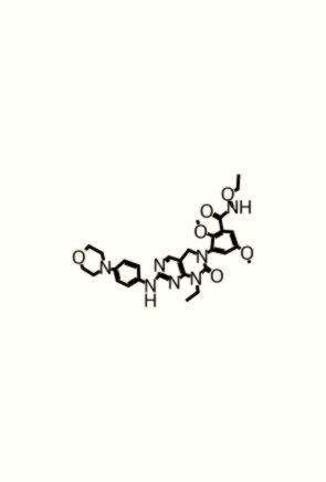 CCONC(=O)c1cc(OC)cc(N2Cc3cnc(Nc4ccc(N5CCOCC5)cc4)nc3N(CC)C2=O)c1OC